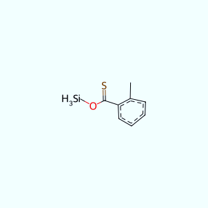 Cc1ccccc1C(=S)O[SiH3]